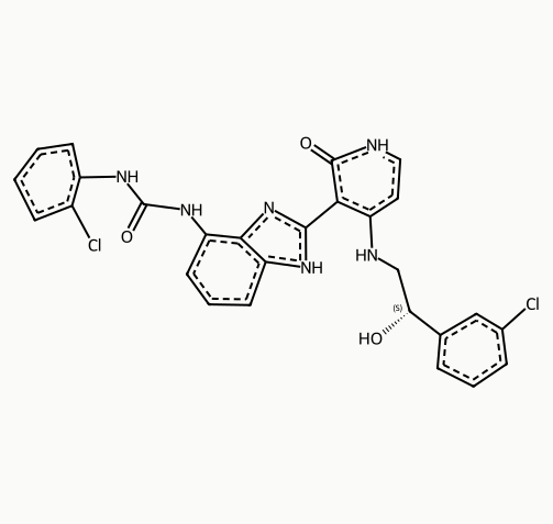 O=C(Nc1ccccc1Cl)Nc1cccc2[nH]c(-c3c(NC[C@@H](O)c4cccc(Cl)c4)cc[nH]c3=O)nc12